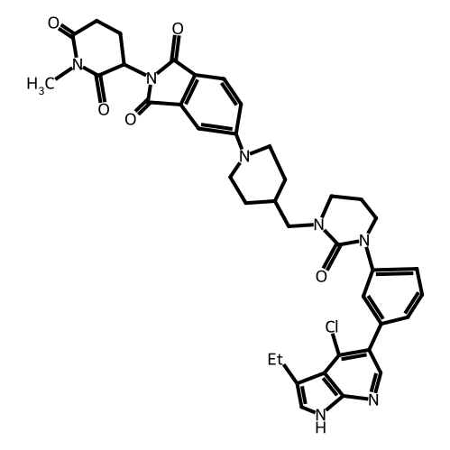 CCc1c[nH]c2ncc(-c3cccc(N4CCCN(CC5CCN(c6ccc7c(c6)C(=O)N(C6CCC(=O)N(C)C6=O)C7=O)CC5)C4=O)c3)c(Cl)c12